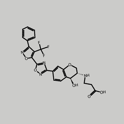 O=C(O)CCN[C@H]1COc2cc(-c3noc(-c4onc(-c5ccccc5)c4C(F)(F)F)n3)ccc2[C@@H]1O